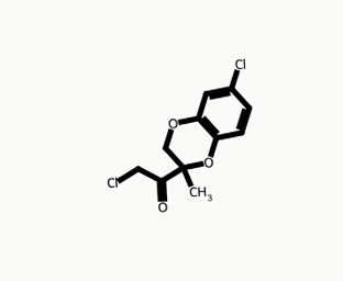 CC1(C(=O)CCl)COc2cc(Cl)ccc2O1